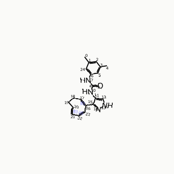 Cc1cc(C)cc(NC(=O)Nc2c[nH]nc2C2=C/CC/C=C/C=C\2)c1